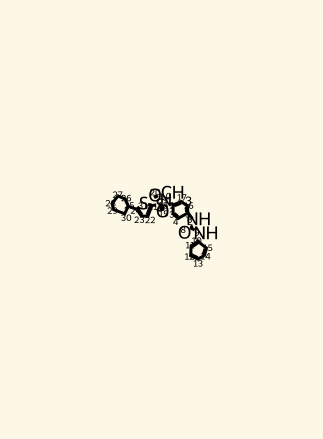 CN(c1ccc(NC(=O)Nc2ccccc2)cc1)S(=O)(=O)c1ccc(C2CCCCC2)s1